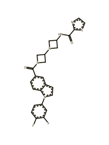 O=C(NC1CN(C2CN(C(=O)c3ccc4c(ccn4-c4ccc(F)c(F)c4)c3)C2)C1)c1nccs1